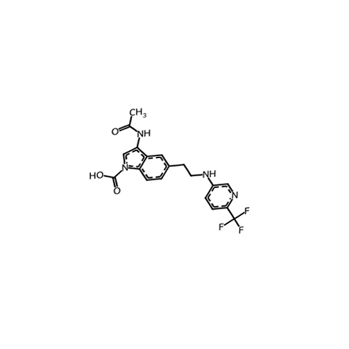 CC(=O)Nc1cn(C(=O)O)c2ccc(CCNc3ccc(C(F)(F)F)nc3)cc12